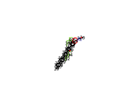 CC/C=C/COc1ccc(-c2ccc(-c3ccc(C4=CCC(C5CCC(C)CC5)CC4)c(F)c3F)cc2)c(F)c1F